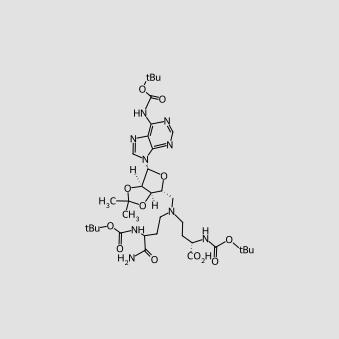 CC(C)(C)OC(=O)Nc1ncnc2c1ncn2[C@@H]1O[C@H](CN(CCC(NC(=O)OC(C)(C)C)C(N)=O)CC[C@H](NC(=O)OC(C)(C)C)C(=O)O)[C@H]2OC(C)(C)O[C@H]21